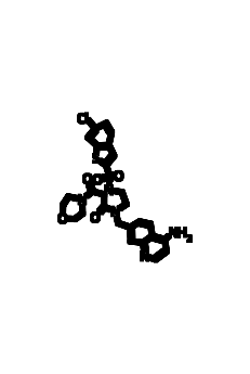 Nc1ccnc2cc(CN3CCN(S(=O)(=O)c4cc5ccc(Cl)cc5s4)C(C(=O)N4CCOCC4)C3=O)ccc12